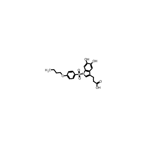 CCCCOc1ccc(S(=O)(=O)n2cc(CCC(=O)O)c3cc(O)c(O)cc32)cc1